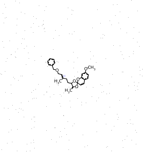 C=C1OC2(C=Cc3ccc(OC)cc3O2)OC1CC/C(C)=C/COCc1ccccc1